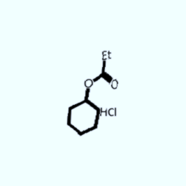 CCC(=O)OC1CCCCC1.Cl